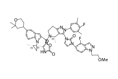 COCCn1ncc2c(F)c(-n3ccn(-c4c5c(nn4-c4cc(C)c(F)c(C)c4)CCN(C(=O)c4cc6cc(C7CCOC(C)(C)C7)ccc6n4[C@@]4(c6noc(=O)[nH]6)C[C@@H]4C)[C@H]5C)c3=O)ccc21